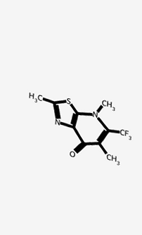 Cc1nc2c(=O)c(C)c(C(F)(F)F)n(C)c2s1